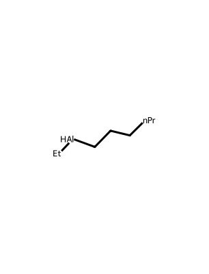 CCCCC[CH2][AlH][CH2]C